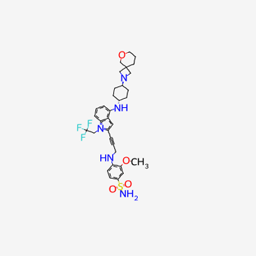 COc1cc(S(N)(=O)=O)ccc1NCC#Cc1cc2c(N[C@H]3CC[C@H](N4CC5(CCCOC5)C4)CC3)cccc2n1CC(F)(F)F